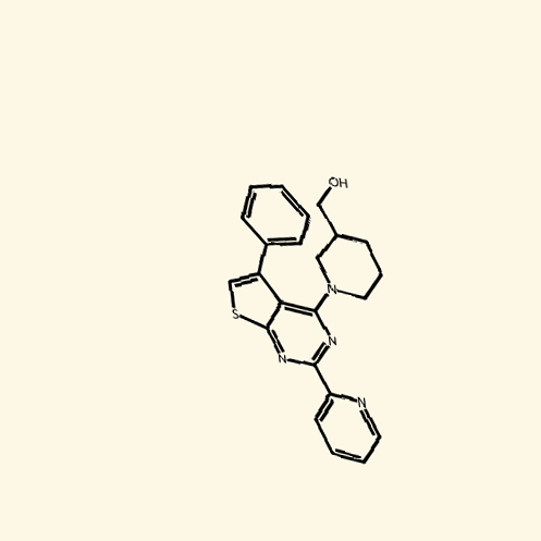 OCC1CCCN(c2nc(-c3ccccn3)nc3scc(-c4ccccc4)c23)C1